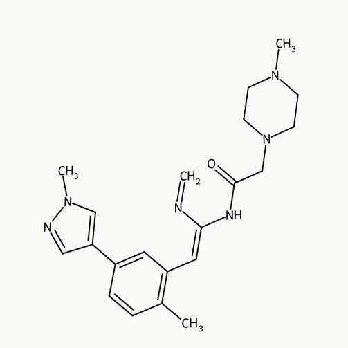 C=N/C(=C\c1cc(-c2cnn(C)c2)ccc1C)NC(=O)CN1CCN(C)CC1